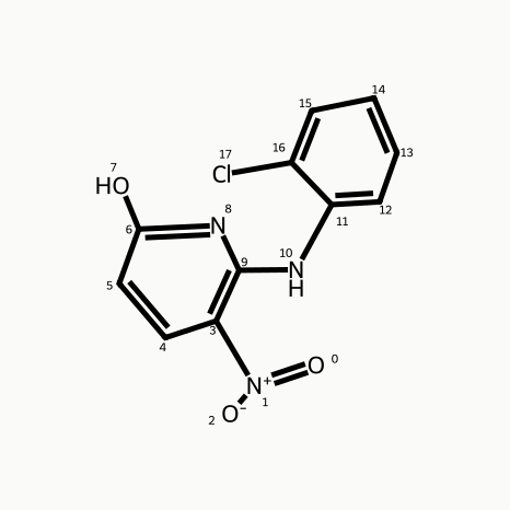 O=[N+]([O-])c1ccc(O)nc1Nc1ccccc1Cl